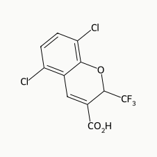 O=C(O)C1=Cc2c(Cl)ccc(Cl)c2OC1C(F)(F)F